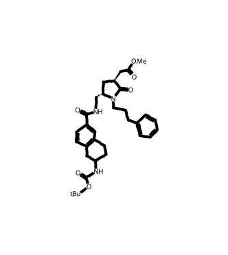 COC(=O)C[C@@H]1C[C@@H](CNC(=O)c2ccc3c(c2)CCC(NC(=O)OC(C)(C)C)C3)N(CCCc2ccccc2)C1=O